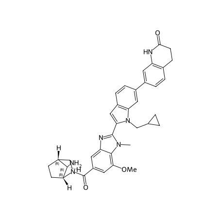 COc1cc(C(=O)N2C[C@H]3CC[C@@H]2[C@@H]3N)cc2nc(-c3cc4ccc(-c5ccc6c(c5)NC(=O)CC6)cc4n3CC3CC3)n(C)c12